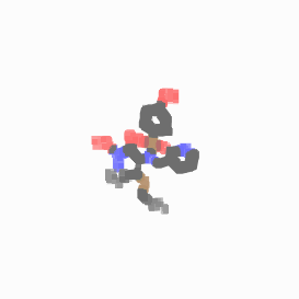 CC(SCC(F)(F)F)[C@H](C(=O)NO)N(Cc1cccnc1)S(=O)(=O)c1ccc(O)cc1